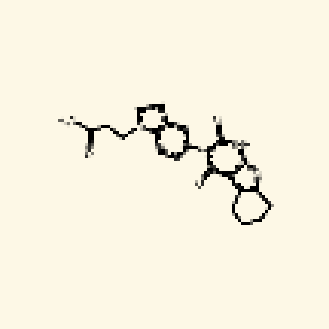 NC(=O)CCn1ccc2cc(-n3c(=O)[nH]c4sc5c(c4c3=O)CCCC5)ccc21